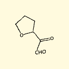 O=CC(=O)C1CCCO1